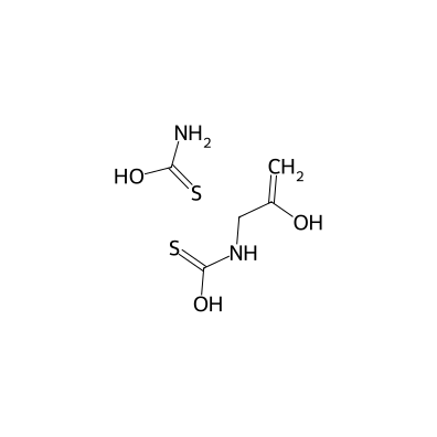 C=C(O)CNC(O)=S.NC(O)=S